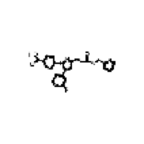 O=C(CCc1cc(-c2cccc(F)c2)n(-c2ccc(C(=O)O)cc2)n1)NCc1ccccn1